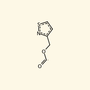 O=[C]OCc1ccsn1